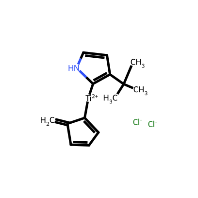 C=C1C=CC=[C]1[Ti+2][c]1[nH]ccc1C(C)(C)C.[Cl-].[Cl-]